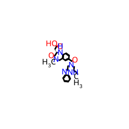 CCCCN(Cc1nc2ccccc2[nH]1)C(=O)c1ccc2c(c1)CN(C)C(=O)[C@H](CC(=O)O)N2